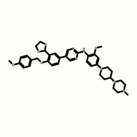 COc1ccc(COc2ccc(-c3cnc(Nc4ccc(N5CCC(N6CCN(C)CC6)CC5)cc4OC)nc3)cc2C2OCCO2)cc1